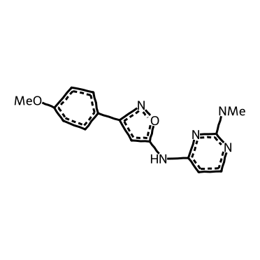 CNc1nccc(Nc2cc(-c3ccc(OC)cc3)no2)n1